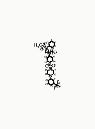 CN(c1ccccc1C(=O)Nc1ccc(S(=O)(=O)N2CCN(c3cccc(C(F)(F)F)c3)CC2)cc1)S(C)(=O)=O